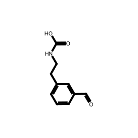 O=Cc1cccc(CCNC(=O)O)c1